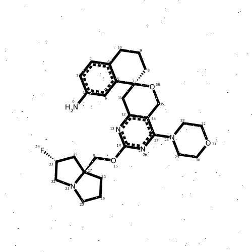 Nc1ccc2c(c1)[C@]1(CCC2)Cc2nc(OC[C@@]34CCCN3C[C@H](F)C4)nc(N3CCOCC3)c2CO1